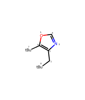 CC(C)(C)Cc1ncoc1C(C)(C)C